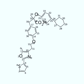 Cc1oc(-c2cccs2)nc1CCOc1ccc(CC(C)(Oc2ccc(C3CCCCC3)cc2)C(=O)O)cc1